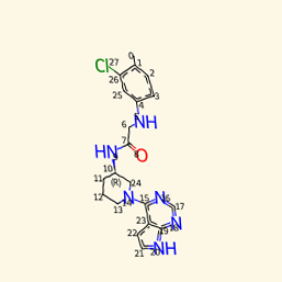 Cc1ccc(NCC(=O)N[C@@H]2CCCN(c3ncnc4[nH]ccc34)C2)cc1Cl